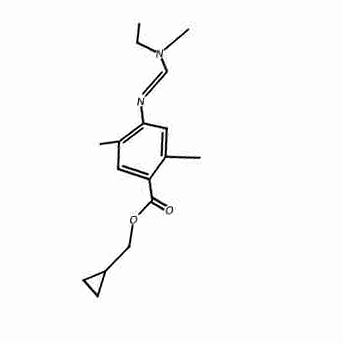 CCN(C)/C=N/c1cc(C)c(C(=O)OCC2CC2)cc1C